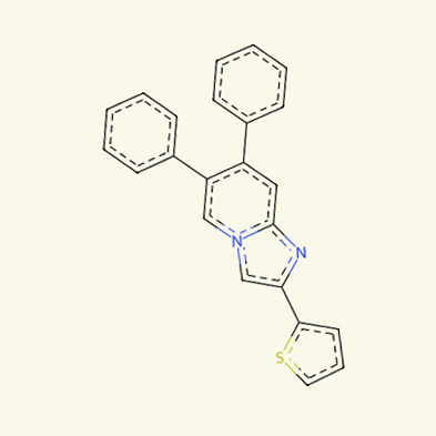 c1ccc(-c2cc3nc(-c4cccs4)cn3cc2-c2ccccc2)cc1